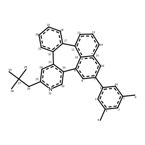 Cc1cc(C)cc(-c2cc3c4c(cccc4c2)-c2ccccc2-c2cc(CC(C)(C)C)ncc2-3)c1